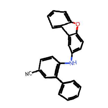 N#Cc1ccc(Nc2ccc3oc4ccccc4c3c2)c(-c2ccccc2)c1